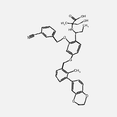 CCC(NC(C)(CO)C(=O)O)c1ccc(OCc2cccc(-c3ccc4c(c3)OCCO4)c2C)cc1OCc1cccc(C#N)c1